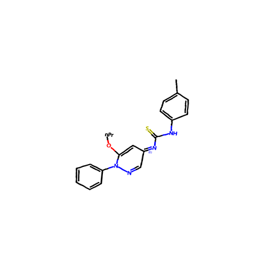 CCCOc1c/c(=N\C(=S)Nc2ccc(C)cc2)cnn1-c1ccccc1